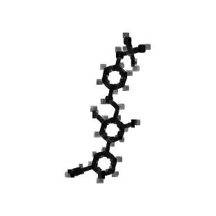 N#Cc1cc(-c2cc(F)c(COc3ccc(OS(=O)(=O)F)cc3)c(F)c2)ccn1